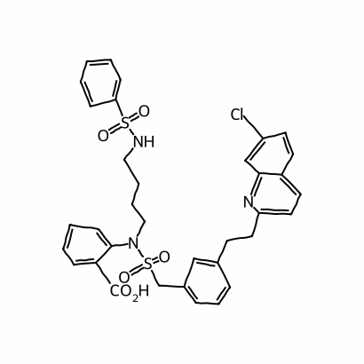 O=C(O)c1ccccc1N(CCCCNS(=O)(=O)c1ccccc1)S(=O)(=O)Cc1cccc(CCc2ccc3ccc(Cl)cc3n2)c1